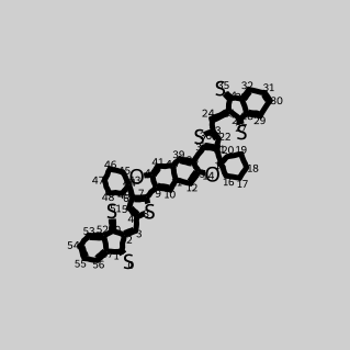 S=C1C(=Cc2cc3c(s2)C2=CC4C=C5OC6(CCCCC6)c6cc(C=C7C(=S)c8ccccc8C7=S)sc6C5=CC4C=C2OC32CCCCC2)C(=S)c2ccccc21